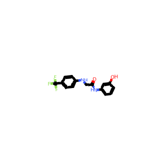 O=C(CNc1ccc(C(F)(F)F)cc1)Nc1cccc(O)c1